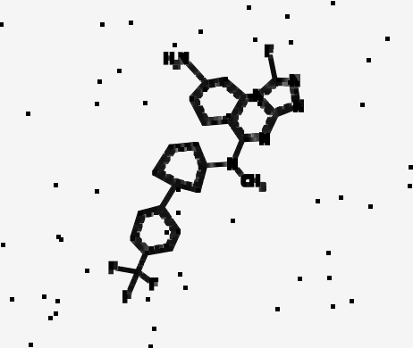 CN(c1cccc(-c2ccc(C(F)(F)F)cc2)c1)c1nc2nnc(F)n2c2cc(N)ccc12